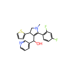 CN1CC(c2cccs2)C(C(O)c2cccnc2)=C1c1ccc(F)cc1F